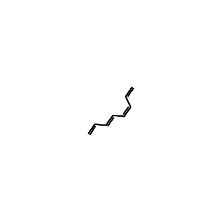 C=C/C=C\C=C\C=C